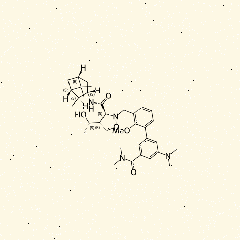 COc1c(CN2OC[C@H]([C@H](C)O)[C@H]2C(=O)N[C@H]2C[C@H]3C[C@@H]([C@@H]2C)C3(C)C)cccc1-c1cc(C(=O)N(C)C)cc(N(C)C)c1